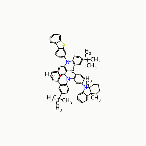 Cc1cc2c3c(c1)N(c1ccc(C(C)(C)C)cc1-c1ccccc1)c1cc(N4c5ccccc5C5(C)CCCCC45C)ccc1B3c1cc(C(C)(C)C)ccc1N2c1ccc2c(c1)sc1ccccc12